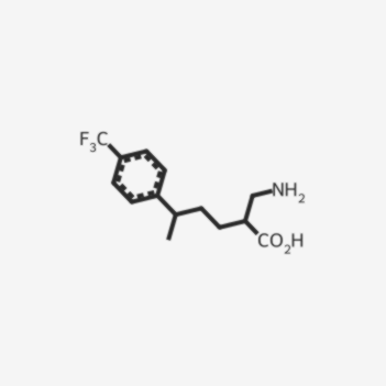 CC(CCC(CN)C(=O)O)c1ccc(C(F)(F)F)cc1